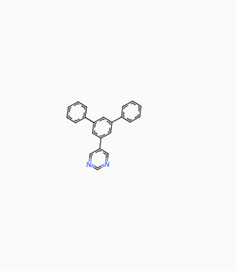 c1ccc(-c2cc(-c3ccccc3)cc(-c3cncnc3)c2)cc1